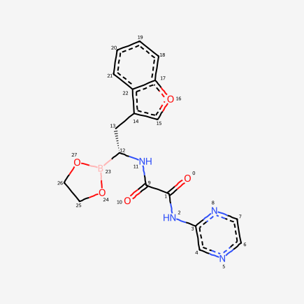 O=C(Nc1cnccn1)C(=O)N[C@@H](Cc1coc2ccccc12)B1OCCO1